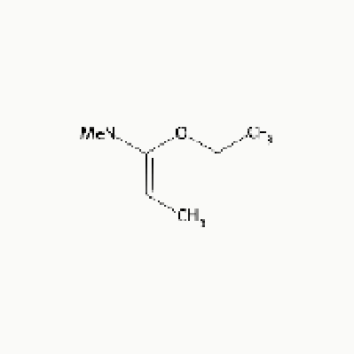 CC=C(NC)OCC(F)(F)F